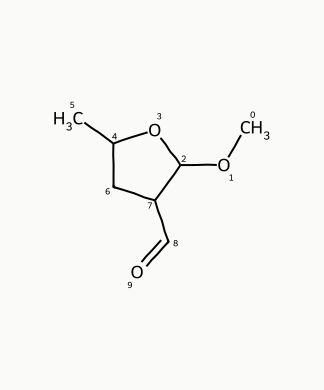 COC1OC(C)CC1C=O